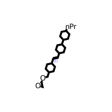 CCCC1CCC(C2CCC(/C=C/C3CCC(COC4CO4)CC3)CC2)CC1